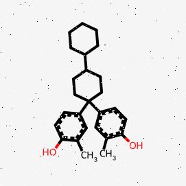 Cc1cc(C2(c3ccc(O)c(C)c3)CCC(C3CCCCC3)CC2)ccc1O